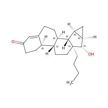 CCCC[C@]12CC[C@H]3[C@@H](CCC4=CC(=O)CC[C@@H]43)[C@@H]1[C@H]1C[C@H]1[C@@H]2O